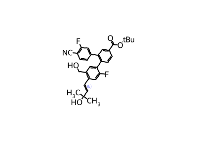 CC(C)(O)/C=C/c1cc(F)c(-c2ccc(C(=O)OC(C)(C)C)cc2-c2ccc(C#N)c(F)c2)cc1CO